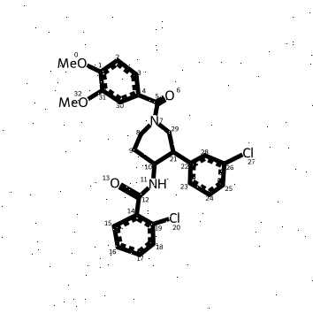 COc1ccc(C(=O)N2CCC(NC(=O)c3ccccc3Cl)C(c3cccc(Cl)c3)C2)cc1OC